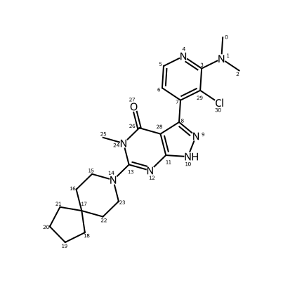 CN(C)c1nccc(-c2n[nH]c3nc(N4CCC5(CCCC5)CC4)n(C)c(=O)c23)c1Cl